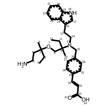 CCC(C)(CCN)OCC(C)(CC)N(CCc1c[nH]c2ccccc12)Cc1ccc(/C=C/C(=O)O)cc1